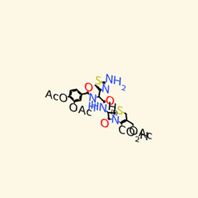 CC(=O)OCC1=C(C(=O)O)N2C(=O)C(NC(=O)C(NC(=O)c3ccc(OC(C)=O)c(OC(C)=O)c3)c3csc(N)n3)[C@@H]2SC1